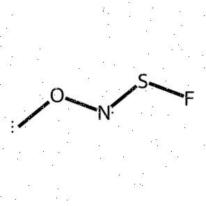 [C]O[N]SF